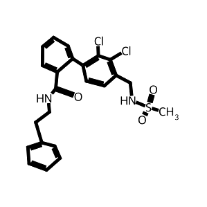 CS(=O)(=O)NCc1ccc(-c2ccccc2C(=O)NCCc2ccccc2)c(Cl)c1Cl